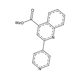 COC(=O)c1cc(-c2ccncc2)nc2ccccc12